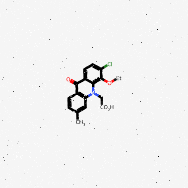 CCOc1c(Cl)ccc2c(=O)c3ccc(C)cc3n(CC(=O)O)c12